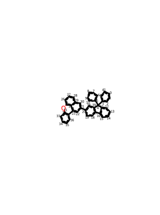 c1ccc(C2(c3ccccc3)c3ccccc3-c3ccc(-c4cc5c6c(cccc6c4)Oc4ccccc4-5)cc32)cc1